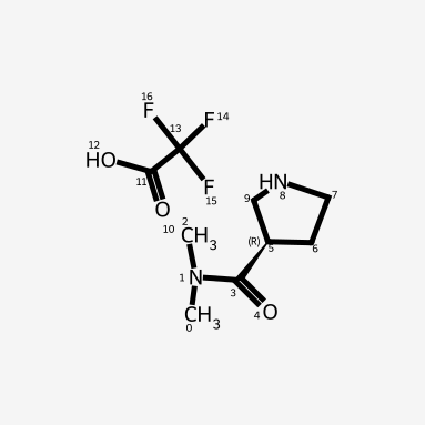 CN(C)C(=O)[C@@H]1CCNC1.O=C(O)C(F)(F)F